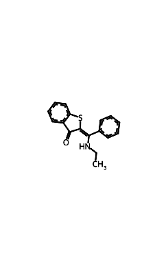 CCNC(=C1Sc2ccccc2C1=O)c1ccccc1